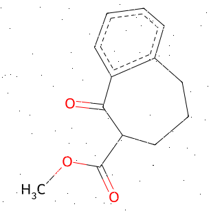 COC(=O)C1CCCc2ccccc2C1=O